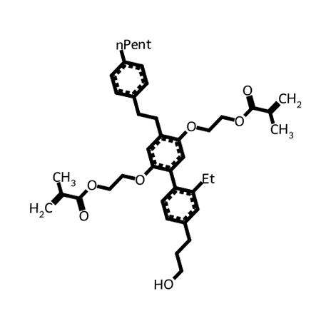 C=C(C)C(=O)OCCOc1cc(-c2ccc(CCCO)cc2CC)c(OCCOC(=O)C(=C)C)cc1CCc1ccc(CCCCC)cc1